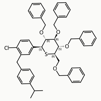 CC(C)c1ccc(Cc2cc([C@@H]3S[C@H](COCc4ccccc4)[C@@H](OCc4ccccc4)[C@H](OCc4ccccc4)[C@H]3OCc3ccccc3)ccc2Cl)cc1